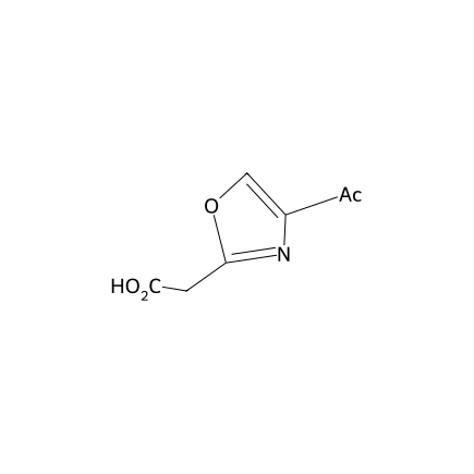 CC(=O)c1coc(CC(=O)O)n1